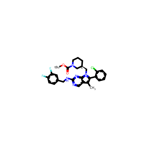 Cc1c(-c2ccccc2Cl)n(C[C@@H]2CCCN(C(=O)OC(C)(C)C)C2)c2nc(NCc3ccc(F)c(F)c3)ncc12